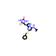 O=C1NC(=O)C(=Cc2cnn3c(NC4CC4)cc(SCc4ccccc4)nc23)N1